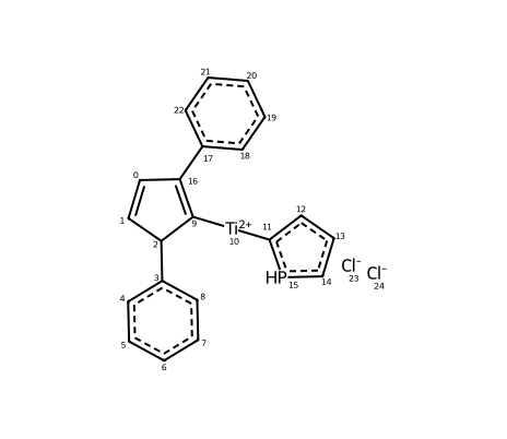 C1=CC(c2ccccc2)[C]([Ti+2][c]2ccc[pH]2)=C1c1ccccc1.[Cl-].[Cl-]